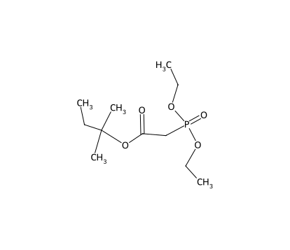 CCOP(=O)(CC(=O)OC(C)(C)CC)OCC